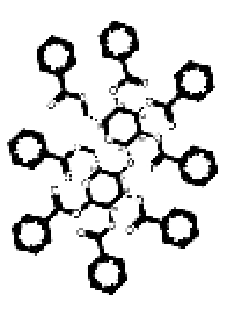 O=C(OC[C@H]1O[C@@H](O[C@H]2[C@H](OC(=O)c3ccccc3)[C@@H](OC(=O)c3ccccc3)C(OC(=O)c3ccccc3)O[C@@H]2COC(=O)c2ccccc2)[C@H](OC(=O)c2ccccc2)[C@@H](OC(=O)c2ccccc2)[C@H]1OC(=O)c1ccccc1)c1ccccc1